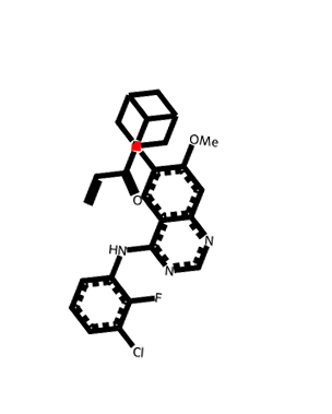 C=CC(=O)N1CC2CC(C1)C2Oc1cc2c(Nc3cccc(Cl)c3F)ncnc2cc1OC